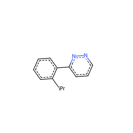 CC(C)c1ccccc1-c1cccnn1